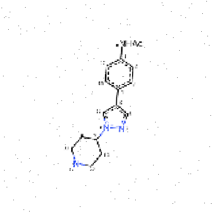 CC(=O)Nc1ccc(-c2cnn(C3CC[N]CC3)c2)cc1